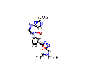 CSc1ncc2c(n1)N(C)CCN(c1cccc(-c3nnc(CN(CC(C)(C)C)C(=O)O)o3)c1)C2=O